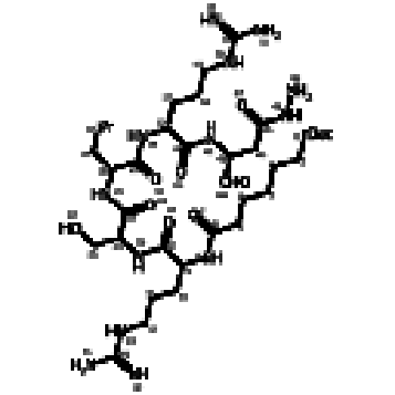 CCCCCCCCCCCCCCCC(=O)N[C@@H](CCCNC(=N)N)C(=O)N[C@@H](CO)C(=O)N[C@@H](CC(C)C)C(=O)N[C@@H](CCCNC(=N)N)C(=O)N[C@H](C=O)CC(=O)NN